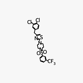 O=S(=O)(c1cccc(C(F)(F)F)c1)N1CCN(c2nc(Cc3ccc(Cl)c(Cl)c3)cs2)CC1